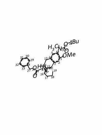 COc1cc2c(cc1N(C)C(=O)OC(C)(C)C)C[C@H]1C3CCCC[C@@]23CCN1C(=O)OCc1ccccc1